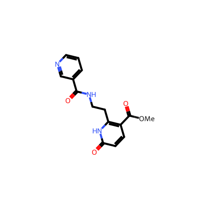 COC(=O)c1ccc(=O)[nH]c1CCNC(=O)c1cccnc1